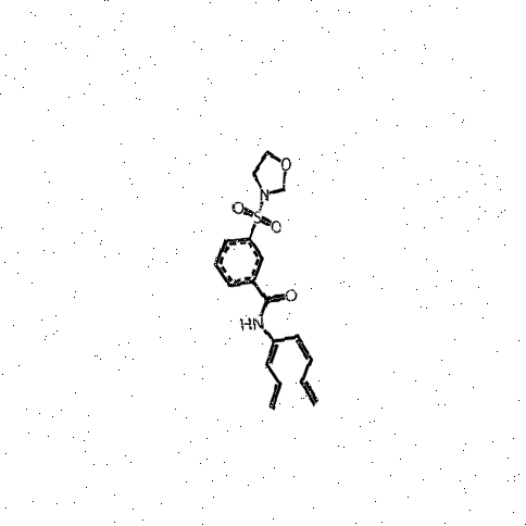 C=C/C=C\C(=C/C=C)NC(=O)c1cccc(S(=O)(=O)N2CCOC2)c1